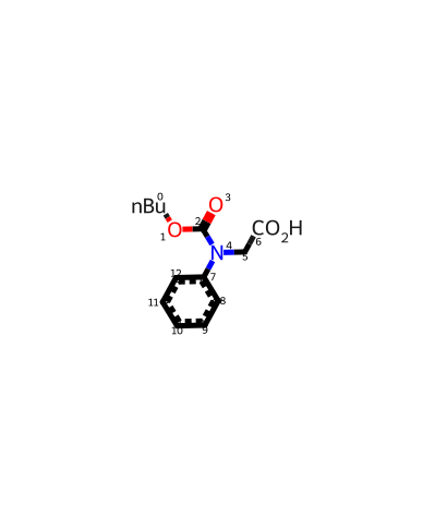 CCCCOC(=O)N(CC(=O)O)c1ccccc1